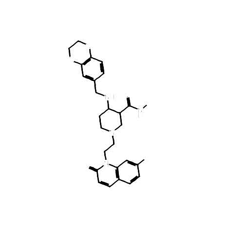 CNC(=O)C1CN(CCn2c(=O)ccc3ccc(C)cc32)CCC1NCc1ccc2c(c1)OCCO2